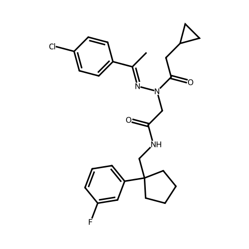 C/C(=N\N(CC(=O)NCC1(c2cccc(F)c2)CCCC1)C(=O)CC1CC1)c1ccc(Cl)cc1